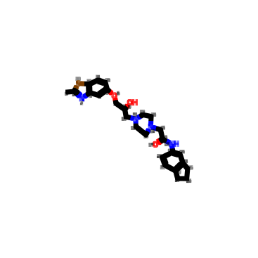 Cc1nc2cc(OCC(O)CN3CCN(CC(=O)Nc4ccc5c(c4)CCC5)CC3)ccc2s1